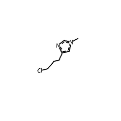 Cn1cnc(CCCCl)c1